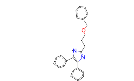 c1ccc(COCCCC2=NC(c3ccccc3)=C(c3ccccc3)[N]2)cc1